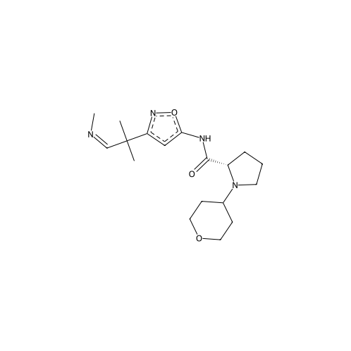 C/N=C\C(C)(C)c1cc(NC(=O)[C@@H]2CCCN2C2CCOCC2)on1